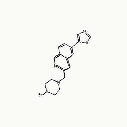 CC(C)N1CCN(Cc2cc3cc(-c4cncs4)ccc3cn2)CC1